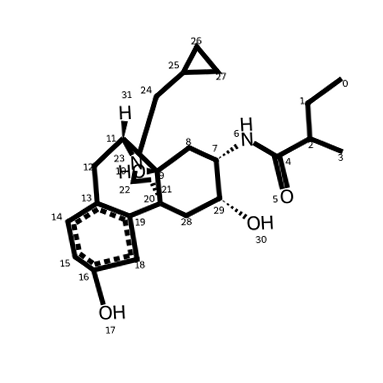 CCC(C)C(=O)N[C@H]1C[C@@]2(O)[C@H]3Cc4ccc(O)cc4[C@]2(CCN3CC2CC2)C[C@H]1O